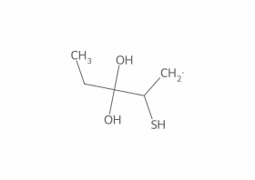 [CH2]C(S)C(O)(O)CC